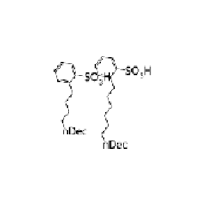 CCCCCCCCCCCCCCCCc1ccccc1S(=O)(=O)O.CCCCCCCCCCCCCCc1ccccc1S(=O)(=O)O